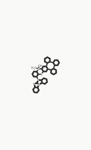 C[Si]1(C)c2cc3c(cc2Sc2c(-n4c5ccccc5n5c6ccccc6nc45)cccc21)-c1ccccc1-c1ccccc1-c1ccccc1-3